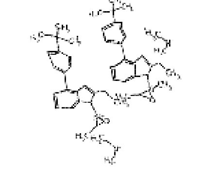 CCC1=Cc2c(-c3ccc(C(C)(C)C)cc3)cccc2[CH]1[Ti+2]1[O][CH]1C.CCC1=Cc2c(-c3ccc(C(C)(C)C)cc3)cccc2[CH]1[Zr]1([CH3])[O][CH]1C.C[N-]C.C[N-]C